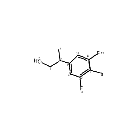 Cc1c(F)cc(C(C)CO)cc1F